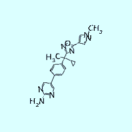 Cn1cc(-c2nc(C(C)(c3ccc(-c4cnc(N)nc4)cc3)C3CC3)no2)cn1